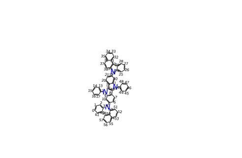 c1ccc(N(c2ccc3c(c2)n(-c2ccccc2)c2c4ccc(-n5c6ccccc6c6c7ccccc7ccc65)cc4n(-c4ccccc4)c32)c2cccc3ccccc23)cc1